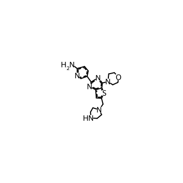 Nc1ccc(-c2nc(N3CCOCC3)c3sc(CN4CCNCC4)cc3n2)cn1